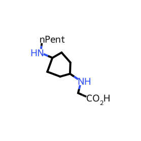 CCCCCNC1CCC(NCC(=O)O)CC1